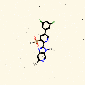 CCS(=O)(=O)c1cc(-c2cc(F)cc(F)c2)cnc1-c1nc2cc(C(F)(F)F)ncc2n1C